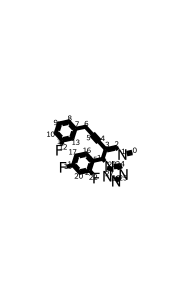 C=NC=C(C#CCc1cccc(F)c1)C(c1ccc(F)cc1F)n1cnnn1